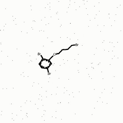 BrCCCCOc1cc(Br)ccc1Br